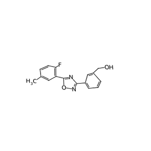 Cc1ccc(F)c(-c2nc(-c3cccc(CO)c3)no2)c1